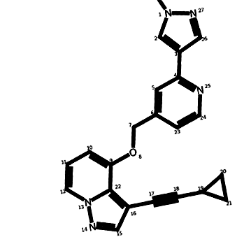 Cn1cc(-c2cc(COc3cccn4ncc(C#CC5CC5)c34)ccn2)cn1